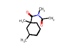 CC(=O)N(C)C(=O)C1(C)CCCC(C)C1